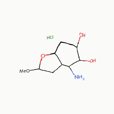 COC1CC2C(CC(O)C(O)C2N)O1.Cl